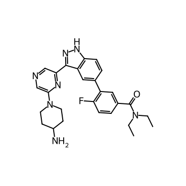 CCN(CC)C(=O)c1ccc(F)c(-c2ccc3[nH]nc(-c4cncc(N5CCC(N)CC5)n4)c3c2)c1